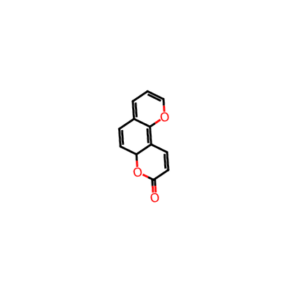 O=C1C=CC2=C3OC=CC=C3C=CC2O1